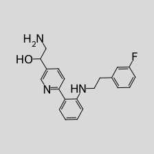 NCC(O)c1ccc(-c2ccccc2NCCc2cccc(F)c2)nc1